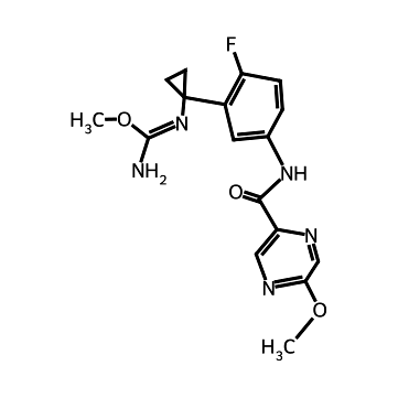 CO/C(N)=N\C1(c2cc(NC(=O)c3cnc(OC)cn3)ccc2F)CC1